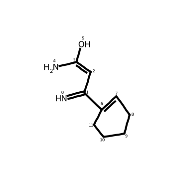 N=C(/C=C(\N)O)C1=CCCCC1